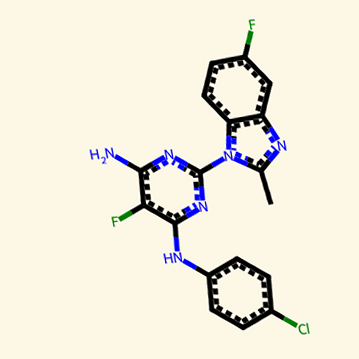 Cc1nc2cc(F)ccc2n1-c1nc(N)c(F)c(Nc2ccc(Cl)cc2)n1